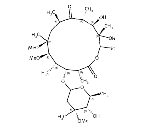 CCC1OC(=O)[C@H](C)[C@H](OC2C[C@@](C)(OC)[C@@H](O)[C@H](C)O2)[C@H](C)[C@@H](OC)[C@@](C)(OC)C[C@@H](C)C(=O)[C@H](C)[C@@H](O)[C@]1(C)O